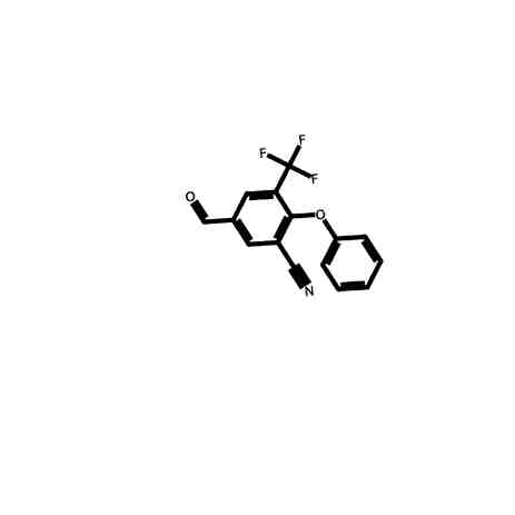 N#Cc1cc(C=O)cc(C(F)(F)F)c1Oc1ccccc1